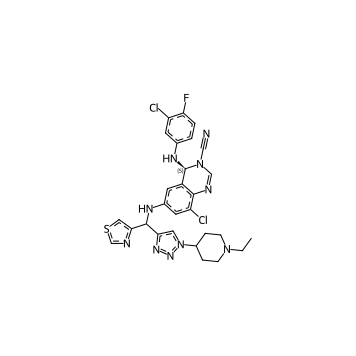 CCN1CCC(n2cc(C(Nc3cc(Cl)c4c(c3)[C@@H](Nc3ccc(F)c(Cl)c3)N(C#N)C=N4)c3cscn3)nn2)CC1